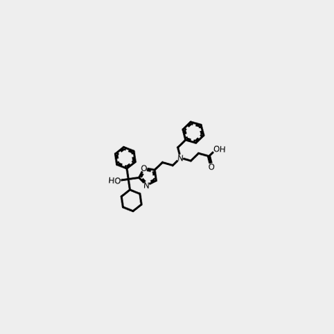 O=C(O)CCN(CCc1cnc(C(O)(c2ccccc2)C2CCCCC2)o1)Cc1ccccc1